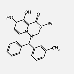 Cc1cccc(C(c2ccccc2)N2CN(C(C)C)C(=O)C3=C(O)C(O)C=CN32)c1